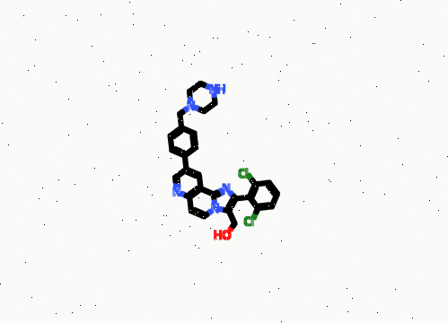 OCc1c(-c2c(Cl)cccc2Cl)nc2c3cc(-c4ccc(CN5CCNCC5)cc4)cnc3ccn12